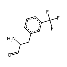 NC(C=O)Cc1cccc(C(F)(F)F)c1